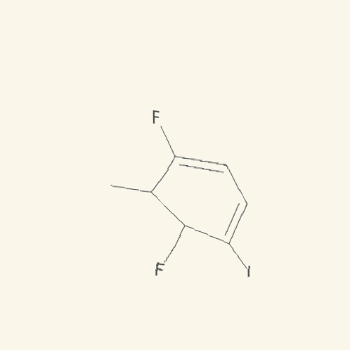 CC1C(F)=CC=C(I)C1F